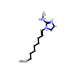 CCCCCCCCCCCCCCCC=CN1CCN=C1NCC